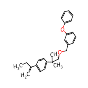 C=C(CC)c1ccc(C(C)(C)COCc2cccc(Oc3ccccc3)c2)cc1